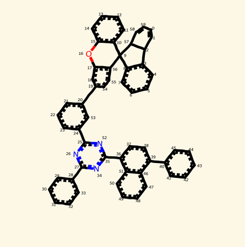 C1=CC2c3ccccc3C3(c4ccccc4Oc4cc(-c5cccc(-c6nc(-c7ccccc7)nc(-c7ccc(-c8ccccc8)c8ccccc78)n6)c5)ccc43)C2C=C1